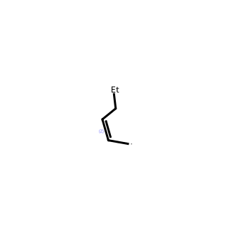 [CH2]/C=C\CCC